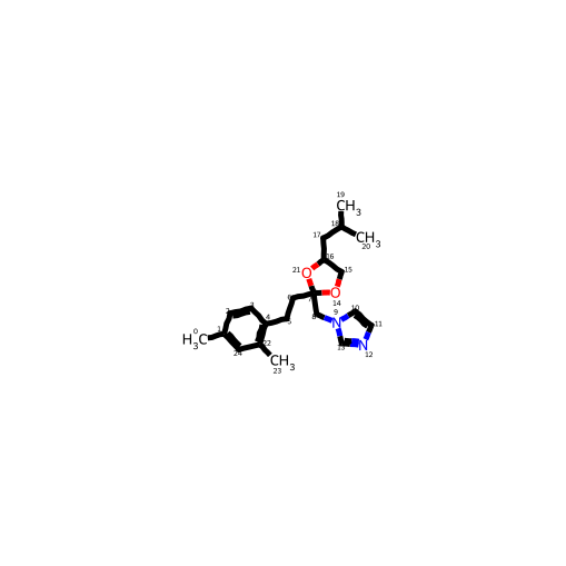 Cc1ccc(CCC2(Cn3ccnc3)OCC(CC(C)C)O2)c(C)c1